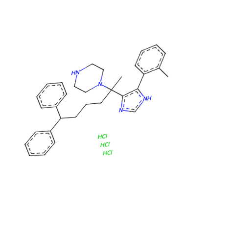 Cc1ccccc1-c1[nH]cnc1C(C)(CCCC(c1ccccc1)c1ccccc1)N1CCNCC1.Cl.Cl.Cl